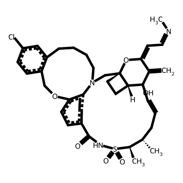 C=C1/C(=C\C=N/C)O[C@]23CC[C@H]2[C@]1(O)/C=C/C[C@H](C)[C@@H](C)S(=O)(=O)NC(=O)c1ccc2c(c1)N(CCCCc1cc(Cl)ccc1CO2)C3